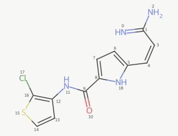 N=C(N)/C=C\c1ccc(C(=O)Nc2ccsc2Cl)[nH]1